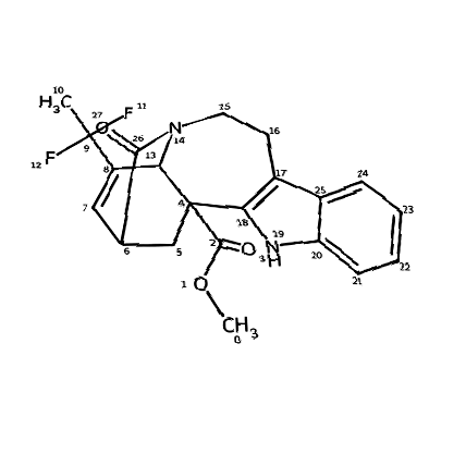 COC(=O)C12CC3C=C(C(C)(F)F)C1N(CCc1c2[nH]c2ccccc12)C3=O